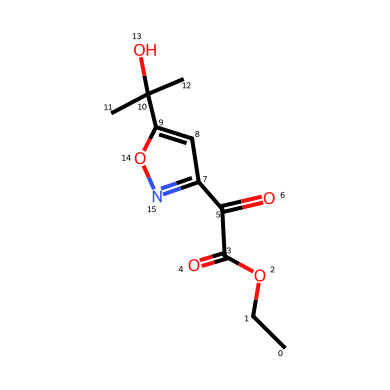 CCOC(=O)C(=O)c1cc(C(C)(C)O)on1